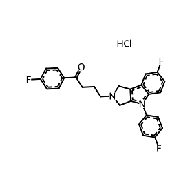 Cl.O=C(CCCN1Cc2c(n(-c3ccc(F)cc3)c3ccc(F)cc23)C1)c1ccc(F)cc1